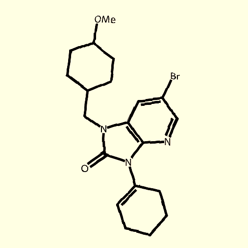 COC1CCC(Cn2c(=O)n(C3=CCCCC3)c3ncc(Br)cc32)CC1